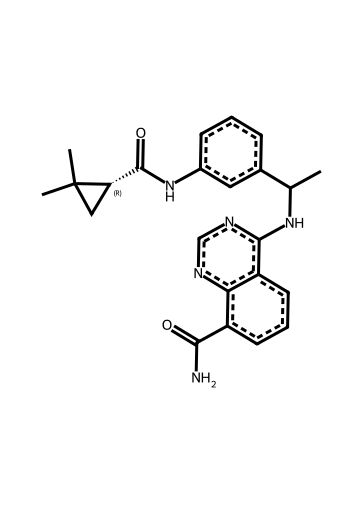 CC(Nc1ncnc2c(C(N)=O)cccc12)c1cccc(NC(=O)[C@@H]2CC2(C)C)c1